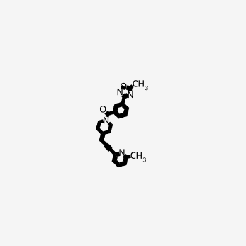 Cc1cccc(C#CC=C2CCN(C(=O)c3cccc(-c4noc(C)n4)c3)CC2)n1